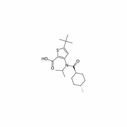 CC(C)N(c1cc(C(C)(C)C)sc1C(=O)O)C(=O)[C@H]1CC[C@H](C)CC1